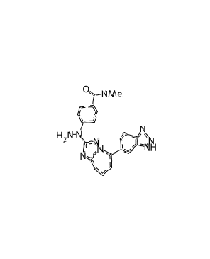 CNC(=O)c1ccc(N(N)c2nc3cccc(-c4ccc5nn[nH]c5c4)n3n2)cc1